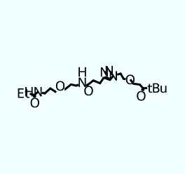 CCC(=O)NCCCOCCCNC(=O)CCc1cn(CCOCCC(=O)C(C)(C)C)nn1